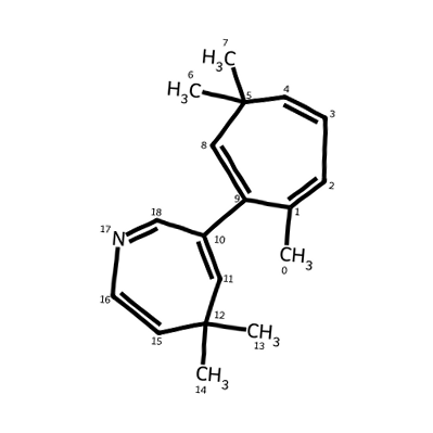 CC1=CC=CC(C)(C)C=C1C1=CC(C)(C)C=CN=C1